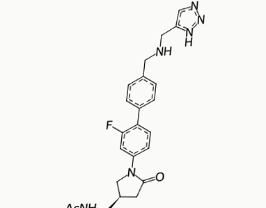 CC(=O)NC[C@@H]1CC(=O)N(c2ccc(-c3ccc(CNCc4cnn[nH]4)cc3)c(F)c2)C1